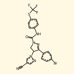 N#Cc1cnn(C2CN(C(=O)Nc3ccc(SC(F)(F)F)cc3)N=C2c2ccc(Br)cc2)c1